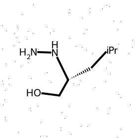 CC(C)C[C@H](CO)NN